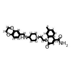 Cc1ccc2c(C(N)=O)cc(=O)n(CCN3CCC(NCc4ccc5c(c4)OCCO5)CC3)c2c1